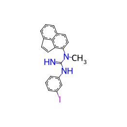 CN(C(=N)Nc1cccc(I)c1)c1ccc2cccc3c2c1C=C3